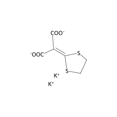 O=C([O-])C(C(=O)[O-])=C1SCCS1.[K+].[K+]